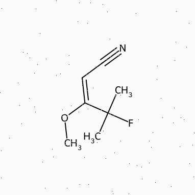 COC(=CC#N)C(C)(C)F